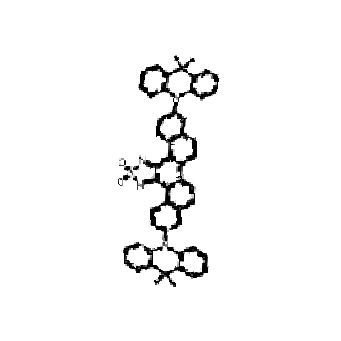 CC1(C)c2ccccc2N(c2ccc3c(ccc4c5ccc6cc(N7c8ccccc8C(C)(C)c8ccccc87)ccc6c5c5c(c34)=NS(=O)(=O)N=5)c2)c2ccccc21